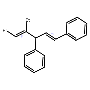 CC/C=C(\CC)C(/C=C/c1ccccc1)c1ccccc1